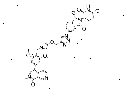 COc1cc(-c2cn(C)c(=O)c3cnccc23)cc(OC)c1CN1CC(OCc2cn(-c3ccc4c(c3)C(=O)N(C3CCC(=O)NC3=O)C4=O)nn2)C1